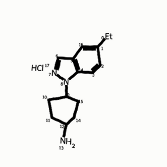 CCc1ccc2c(cnn2C2CCC(N)CC2)c1.Cl